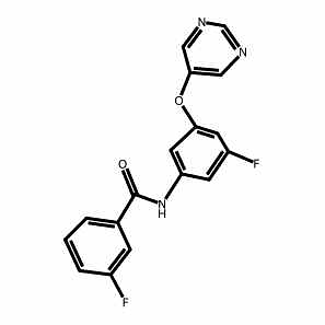 O=C(Nc1cc(F)cc(Oc2cncnc2)c1)c1cccc(F)c1